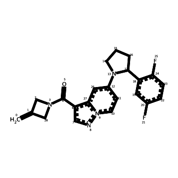 C=C1CN(C(=O)c2cnn3ccc(N4CCCC4c4cc(F)ccc4F)cc23)C1